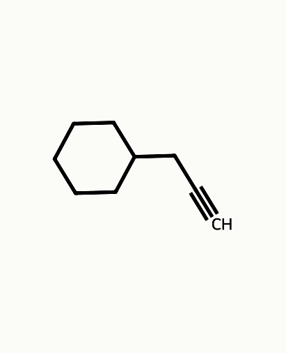 C#CCC1CCCCC1